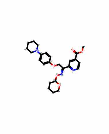 COC(=O)c1ccnc(/C(COc2ccc(N3CCCCC3)cc2)=N/OC2CCCCO2)c1